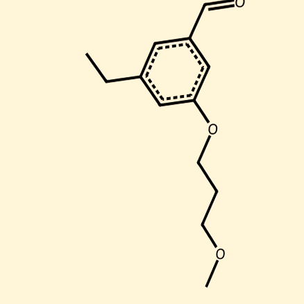 CCc1cc(C=O)cc(OCCCOC)c1